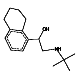 CC(C)(C)NCC(O)c1cccc2c1CCCC2